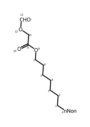 CCCCCCCCCCCCCCCCOC(=O)CO[C]=O